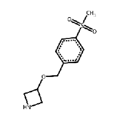 CS(=O)(=O)c1ccc(COC2CNC2)cc1